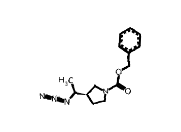 CC(N=[N+]=[N-])[C@@H]1CCN(C(=O)OCc2ccccc2)C1